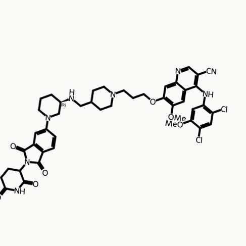 COc1cc(Nc2c(C#N)cnc3cc(OCCCN4CCC(CN[C@@H]5CCCN(c6ccc7c(c6)C(=O)N(C6CCC(=O)NC6=O)C7=O)C5)CC4)c(OC)cc23)c(Cl)cc1Cl